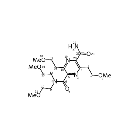 COCCc1nc(C(=O)N(CCOC)CCOC)c(CCOC)nc1C(N)=O